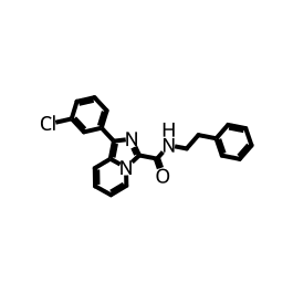 O=C(NCCc1ccccc1)c1nc(-c2cccc(Cl)c2)c2ccccn12